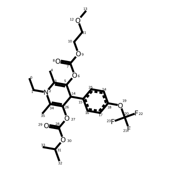 CCN1C(C)=C(OC(=O)OCCOC)C(c2ccc(OC(F)(F)F)cc2)C(OC(=O)OC(C)C)=C1C